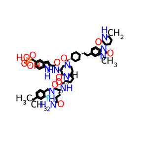 C=C1CCC(n2c(=O)n(C)c3cc(CC[C@H]4CC[C@@H](C(=O)N5CC[C@H]6CC[C@@H](C(=O)N[C@@H](CCC(N)=O)C(=O)NCc7ccc(C(C)C)cc7F)N6C(=O)[C@@H](NC(=O)c6cc7cc(C(=O)P(=O)(O)O)ccc7[nH]6)C5)CC4)ccc32)C(=O)N1